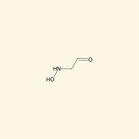 O=CCNO